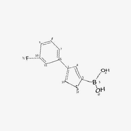 OB(O)c1cc(-c2cccc(F)c2)cs1